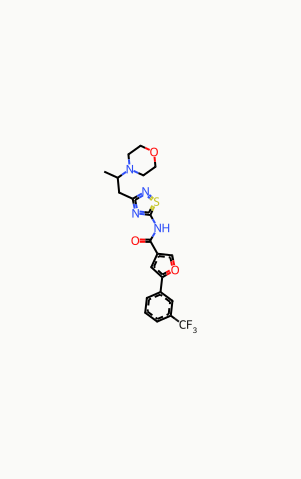 CC(Cc1nsc(NC(=O)c2coc(-c3cccc(C(F)(F)F)c3)c2)n1)N1CCOCC1